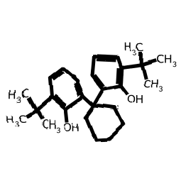 CC(C)(C)c1cccc(C2(c3cccc(C(C)(C)C)c3O)[C]CCCC2)c1O